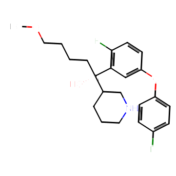 COCCCC[C@@](O)(c1cc(Oc2ccc(F)cc2)ccc1F)C1CCCNC1